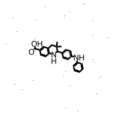 CC1(C)Cc2cc(C(=O)O)ccc2NC1c1ccc(Nc2ccccc2)cc1